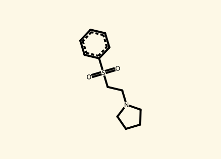 O=S(=O)(CCN1CCCC1)c1ccccc1